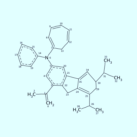 C=C(C)c1cc(N(C2=CC=CC=CC2)c2ccccc2)cc2c1CC1=C(C(C)C)CC(C(C)C)C=C12